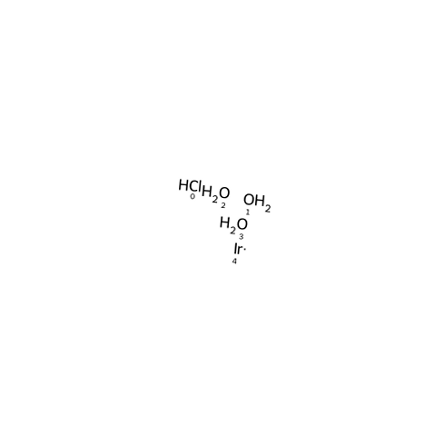 Cl.O.O.O.[Ir]